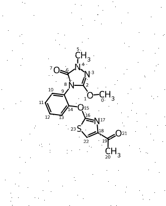 COc1nn(C)c(=O)n1-c1ccccc1Oc1nc(C(C)=O)cs1